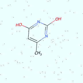 Cc1[c]c(O)nc(O)n1